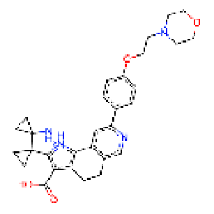 NC1(C2(c3[nH]c4c(c3C(=O)O)CCc3cnc(-c5ccc(OCCN6CCOCC6)cc5)cc3-4)CC2)CC1